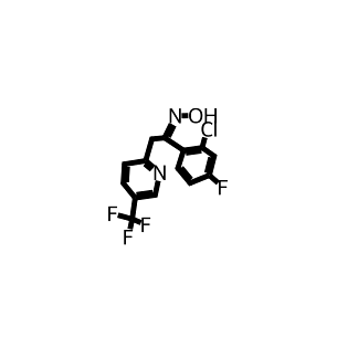 O/N=C(/Cc1ccc(C(F)(F)F)cn1)c1ccc(F)cc1Cl